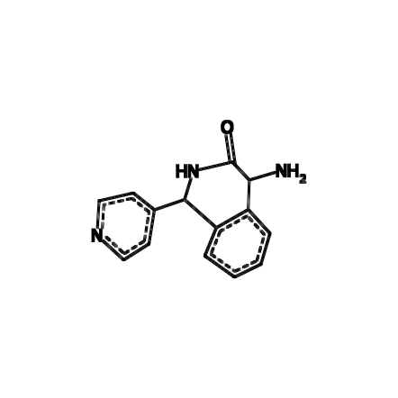 NC1C(=O)NC(c2ccncc2)c2ccccc21